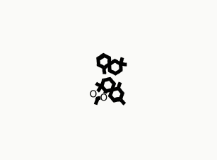 CC(=O)OC1C(C)(C)CCCC12CC=C(C)CC2C.CC1CC=CCC12CCCC(C)(C)C2